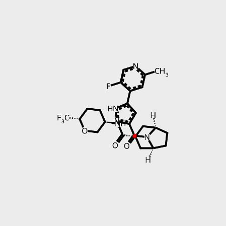 Cc1cc(-c2cc(C(=O)N3[C@@H]4CC[C@H]3C[C@H](C(=O)N[C@@H]3CC[C@@H](C(F)(F)F)OC3)C4)n[nH]2)c(F)cn1